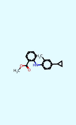 COC(=O)c1ccccc1Nc1ccc(C2CC2)cc1C